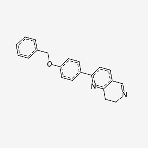 C1=NCCc2nc(-c3ccc(OCc4ccccc4)cc3)ccc21